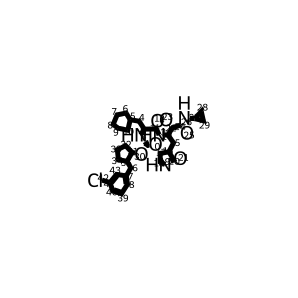 O=C(NC(CC1CCCCC1)C(=O)NC(CC1CCNC1=O)C(=O)C(=O)NC1CC1)OC1CCCC1Cc1cccc(Cl)c1